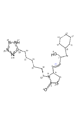 O=C1SCC(/C=C/C(O)CC2CCCCC2)N1CCCCCCc1nnn[nH]1